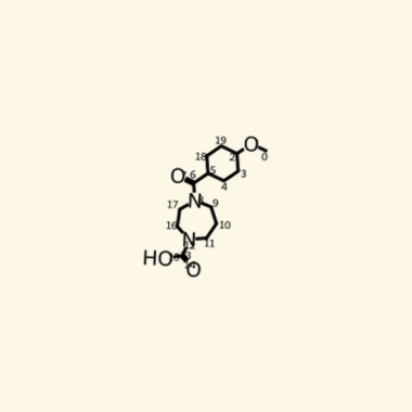 COC1CCC(C(=O)N2CCCN(C(=O)O)CC2)CC1